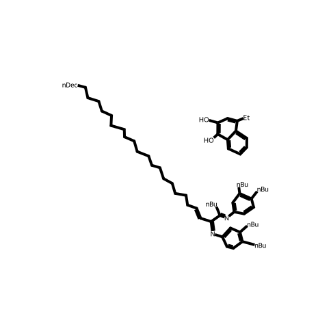 CCCCCCCCCCCCCCCCCCCCCCCCCCCCC=CC(=Nc1ccc(CCCC)c(CCCC)c1)C(CCCC)=Nc1ccc(CCCC)c(CCCC)c1.CCc1cc(O)c(O)c2ccccc12